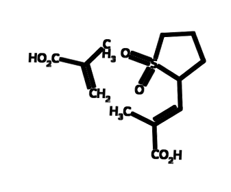 C=C(C)C(=O)O.CC(=CC1CCCS1(=O)=O)C(=O)O